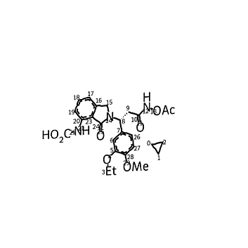 C1CC1.CCOc1cc([C@@H](CC(=O)NOC(C)=O)N2Cc3cccc(NC(=O)O)c3C2=O)ccc1OC